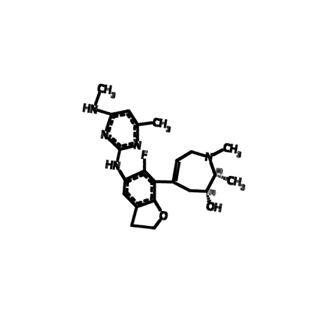 CNc1cc(C)nc(Nc2cc3c(c(C4=CCN(C)[C@H](C)[C@H](O)C4)c2F)OCC3)n1